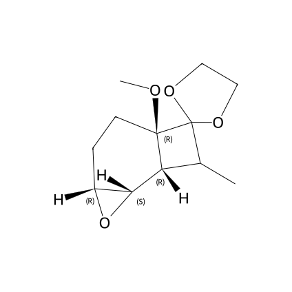 CO[C@]12CC[C@H]3O[C@H]3[C@H]1C(C)C21OCCO1